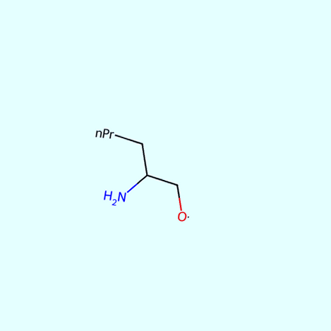 CCCCC(N)C[O]